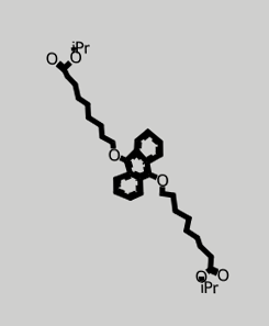 CC(C)OC(=O)CCCCCCCCOc1c2ccccc2c(OCCCCCCCCC(=O)OC(C)C)c2ccccc12